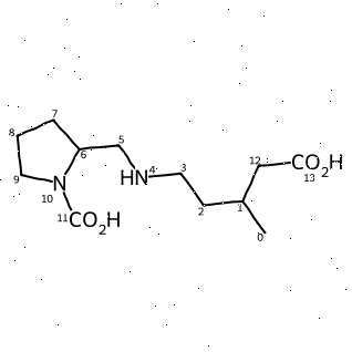 CC(CCNCC1CCCN1C(=O)O)CC(=O)O